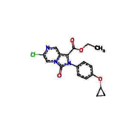 CCOC(=O)c1c2cnc(Cl)cn2c(=O)n1-c1ccc(OC2CC2)cc1